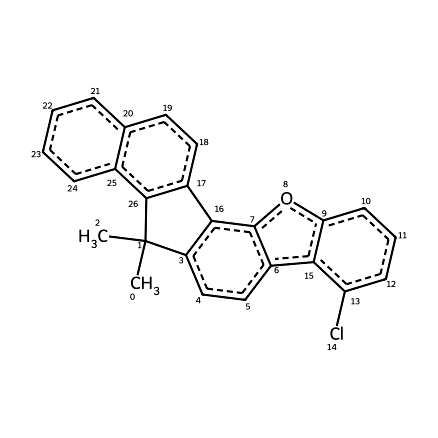 CC1(C)c2ccc3c(oc4cccc(Cl)c43)c2-c2ccc3ccccc3c21